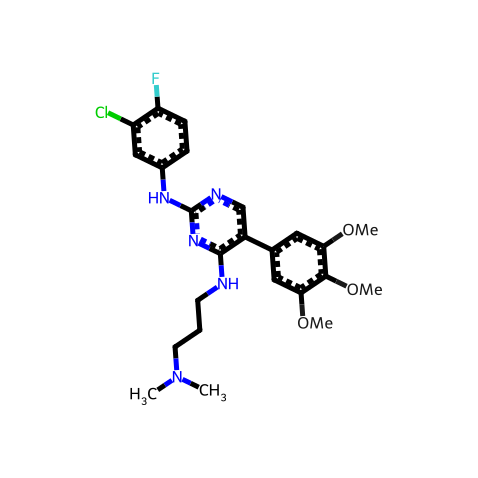 COc1cc(-c2cnc(Nc3ccc(F)c(Cl)c3)nc2NCCCN(C)C)cc(OC)c1OC